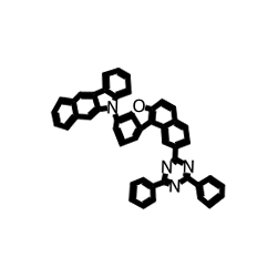 c1ccc(-c2nc(-c3ccccc3)nc(-c3ccc4ccc5oc6c(-n7c8ccccc8c8cc9ccccc9cc87)cccc6c5c4c3)n2)cc1